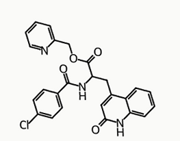 O=C(NC(Cc1cc(=O)[nH]c2ccccc12)C(=O)OCc1ccccn1)c1ccc(Cl)cc1